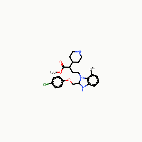 CCCc1cccc2c1N(CCC(C(=O)OC(C)(C)C)C1CCNCC1)C(COc1ccc(Cl)cc1)N2